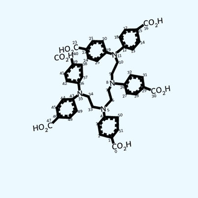 O=C(O)c1ccc(N(CCN(CCN(c2ccc(C(=O)O)cc2)c2ccc(C(=O)O)cc2)c2ccc(C(=O)O)cc2)CCN(c2ccc(C(=O)O)cc2)c2ccc(C(=O)O)cc2)cc1